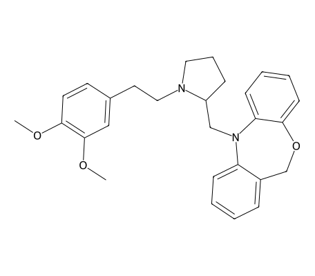 COc1ccc(CCN2CCCC2CN2c3ccccc3COc3ccccc32)cc1OC